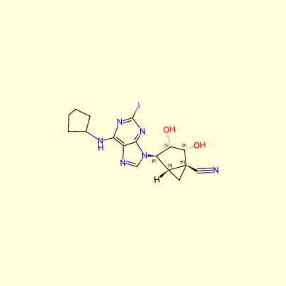 N#C[C@@]12C[C@@H]1[C@@H](n1cnc3c(NC4CCCC4)nc(I)nc31)[C@H](O)[C@@H]2O